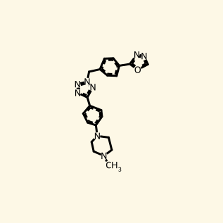 CN1CCN(c2ccc(-c3nnn(Cc4ccc(-c5nnco5)cc4)n3)cc2)CC1